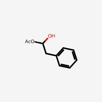 CC(=O)OC(O)Cc1ccccc1